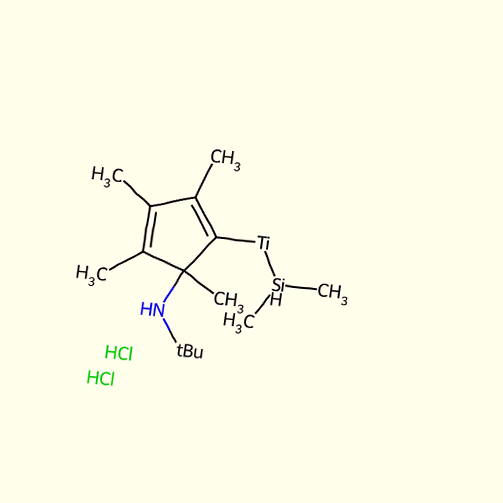 CC1=C(C)C(C)(NC(C)(C)C)[C]([Ti][SiH](C)C)=C1C.Cl.Cl